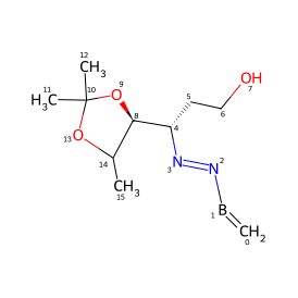 C=BN=N[C@@H](CCO)[C@@H]1OC(C)(C)OC1C